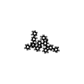 c1ccc(-c2ccc(-c3nc(-c4ccccc4)nc(-c4cccc5oc6c(-c7cc(-n8c9ccccc9c9cc(-c%10ccccc%10)ccc98)cc8oc9ccccc9c78)cccc6c45)n3)cc2)cc1